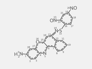 Nc1ccc2nc3c4ccccc4/c(=N\Sc4ccc(N=O)cc4N=O)cc-3oc2c1